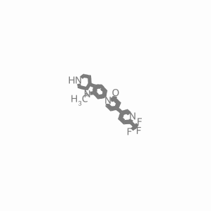 CN1c2cc(-n3ccc(-c4ccc(C(F)(F)F)nc4)cc3=O)ccc2C2CCNCC21